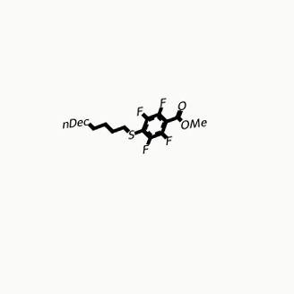 CCCCCCCCCCCCCCSc1c(F)c(F)c(C(=O)OC)c(F)c1F